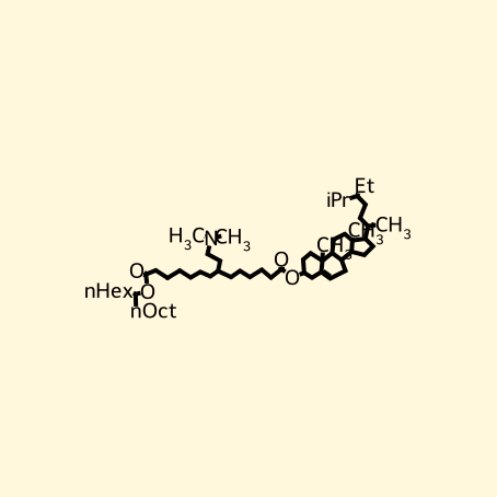 CCCCCCCCC(CCCCCC)OC(=O)CCCCCCC(CCCCCC(=O)OC1CCC2(C)C(=CCC3C2CCC2(C)C(C(C)CCC(CC)C(C)C)CCC32)C1)CCN(C)C